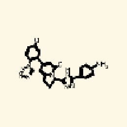 Nc1ccc(-c2nnc(C3CCc4cc(-c5cc(Cl)ccc5-n5cnnn5)cc(=O)n43)[nH]2)cc1